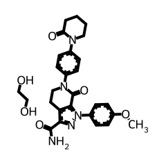 COc1ccc(-n2nc(C(N)=O)c3c2C(=O)N(c2ccc(N4CCCCC4=O)cc2)CC3)cc1.OCCO